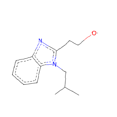 CC(C)Cn1c(CC[O])nc2ccccc21